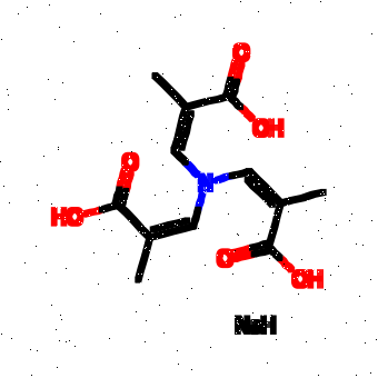 CC(=CN(C=C(C)C(=O)O)C=C(C)C(=O)O)C(=O)O.[NaH]